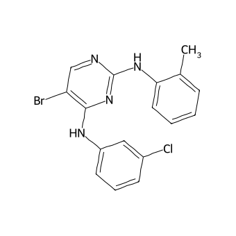 Cc1ccccc1Nc1ncc(Br)c(Nc2cccc(Cl)c2)n1